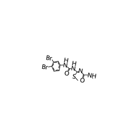 CNC(=O)N=C(NC(=O)Nc1ccc(Br)c(Br)c1)SC